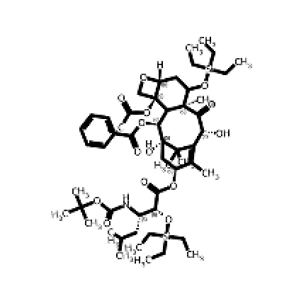 CC[Si](CC)(CC)OC1C[C@H]2OC[C@@]2(OC(C)=O)C2[C@H](OC(=O)c3ccccc3)[C@]3(O)C[C@H](OC(=O)[C@H](O[Si](CC)(CC)CC)[C@H](CC(C)C)NC(=O)OC(C)(C)C)C(C)=C([C@@H](O)C(=O)[C@]12C)C3(C)C